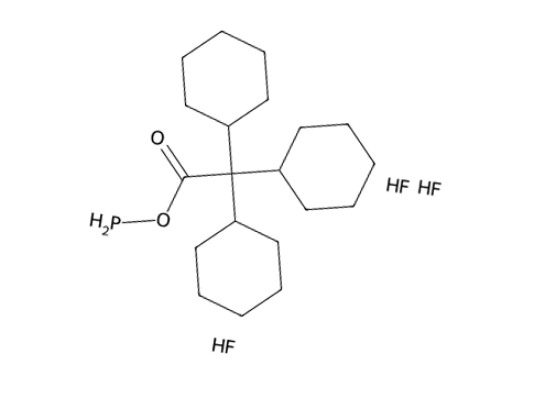 F.F.F.O=C(OP)C(C1CCCCC1)(C1CCCCC1)C1CCCCC1